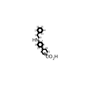 O=C(O)N1CCC(c2ccc(NCCc3ccccc3)cc2)CC1